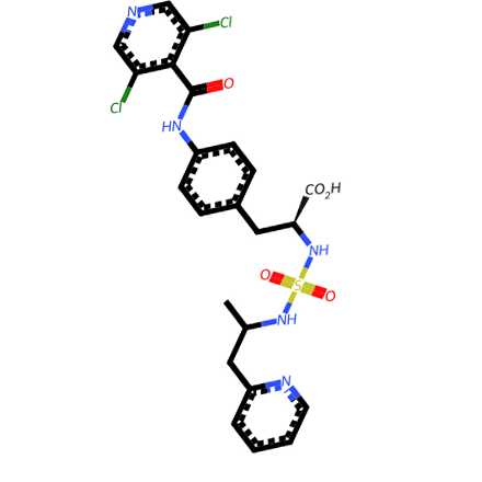 CC(Cc1ccccn1)NS(=O)(=O)N[C@@H](Cc1ccc(NC(=O)c2c(Cl)cncc2Cl)cc1)C(=O)O